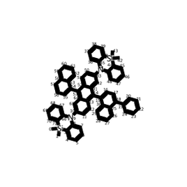 C[Si]1(C)c2ccccc2N(c2ccc3c(-c4ccc(-c5ccccc5)c5ccccc45)c4cc(N5c6ccccc6[Si](C)(C)c6ccccc65)ccc4c(-c4cccc5ccccc45)c3c2)c2ccccc21